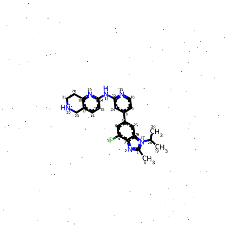 Cc1nc2c(F)cc(-c3ccnc(Nc4ccc5c(n4)CCNC5)c3)cc2n1C(C)C